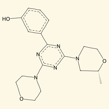 C[C@@H]1CN(c2nc(-c3cccc(O)c3)nc(N3CCOCC3)n2)CCO1